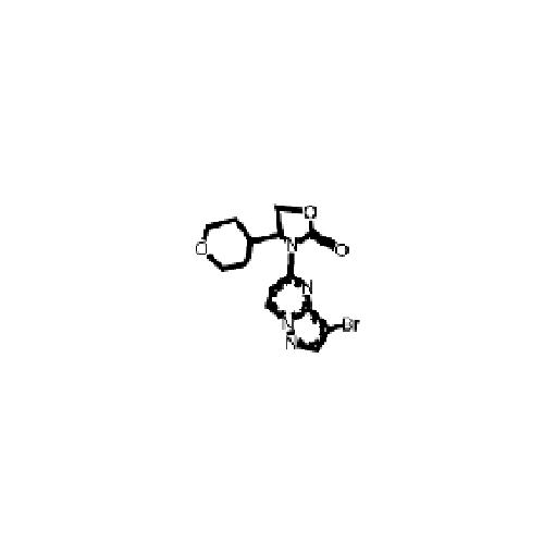 O=C1OCC(C2CCOCC2)N1c1ccn2ncc(Br)c2n1